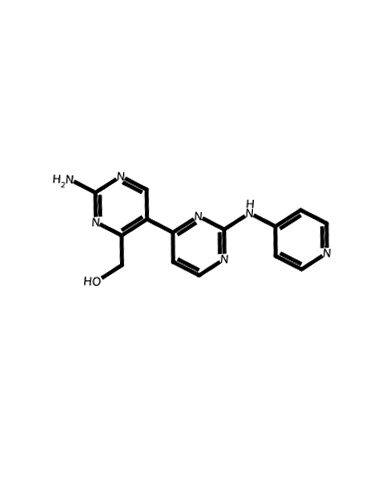 Nc1ncc(-c2ccnc(Nc3ccncc3)n2)c(CO)n1